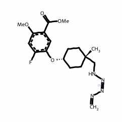 C=N/N=N\NC[C@]1(C)CC[C@H](Oc2cc(C(=O)OC)c(OC)cc2F)CC1